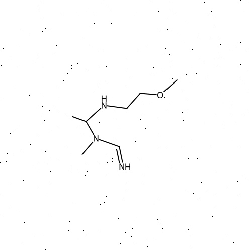 COCCNC(C)N(C)C=N